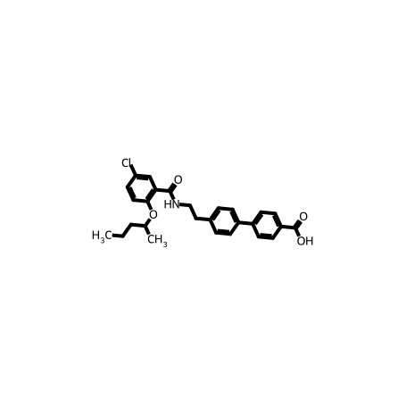 CCCC(C)Oc1ccc(Cl)cc1C(=O)NCCc1ccc(-c2ccc(C(=O)O)cc2)cc1